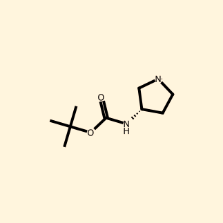 CC(C)(C)OC(=O)N[C@H]1CC[N]C1